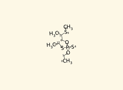 CCOP(=S)(OCC(C)SC)SCC